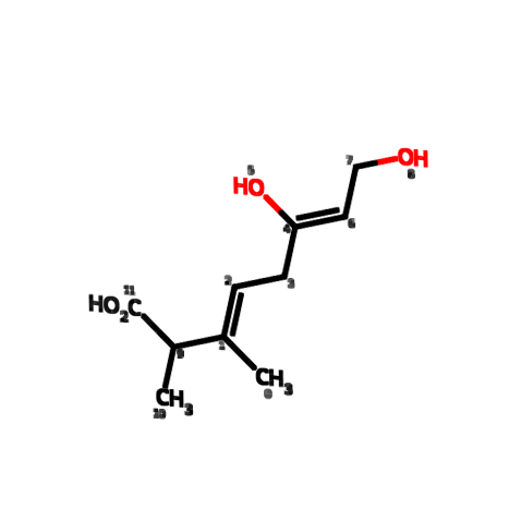 CC(=CCC(O)=CCO)C(C)C(=O)O